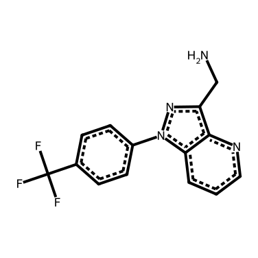 NCc1nn(-c2ccc(C(F)(F)F)cc2)c2cccnc12